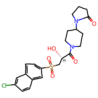 O=C([C@@H](O)CS(=O)(=O)c1ccc2cc(Cl)ccc2c1)N1CCC(N2CCCC2=O)CC1